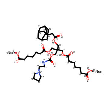 CCCCCCCCCOC(=O)CCCCCC(=O)OCC(COC(=O)CCCCCC(=O)OCCCCCCCCC)(COC(=O)CC12CC3CC(CC(C3)C1)C2)COC(=O)NCCN1CCCC1